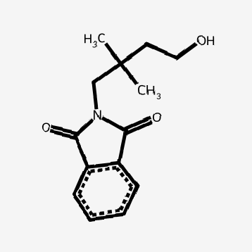 CC(C)(CCO)CN1C(=O)c2ccccc2C1=O